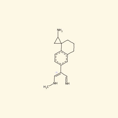 CN/C=C(\C=N)c1ccc2c(c1)CCCC21CC1N